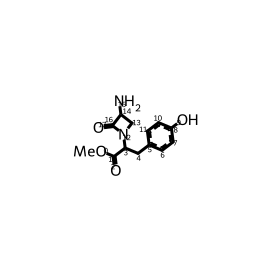 COC(=O)C(Cc1ccc(O)cc1)N1CC(N)C1=O